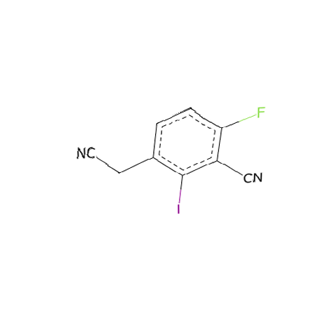 N#CCc1ccc(F)c(C#N)c1I